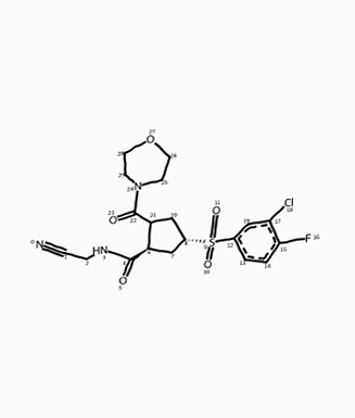 N#CCNC(=O)[C@@H]1C[C@@H](S(=O)(=O)c2ccc(F)c(Cl)c2)CC1C(=O)N1CCOCC1